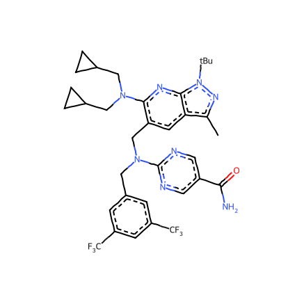 Cc1nn(C(C)(C)C)c2nc(N(CC3CC3)CC3CC3)c(CN(Cc3cc(C(F)(F)F)cc(C(F)(F)F)c3)c3ncc(C(N)=O)cn3)cc12